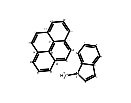 Cn1ccc2ccccc21.c1cc2ccc3cccc4ccc(c1)c2c34